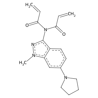 C=CC(=O)N(C(=O)C=C)c1nn(C)c2cc(N3CCCC3)ccc12